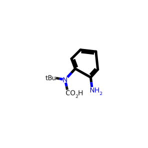 CC(C)(C)N(C(=O)O)c1ccccc1N